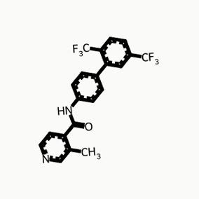 Cc1cnccc1C(=O)Nc1ccc(-c2cc(C(F)(F)F)ccc2C(F)(F)F)cc1